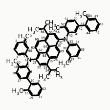 Cc1cccc(N(c2cc(-c3ccccc3C)ccc2C)c2cc(C(C)C)c3ccc4c(N(c5cccc(C)c5)c5cc(-c6ccccc6C)ccc5C)cc(C(C)C)c5ccc2c3c54)c1